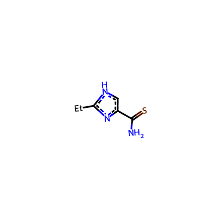 CCc1nc(C(N)=S)c[nH]1